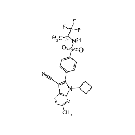 Cc1ccc2c(C#N)c(-c3ccc(S(=O)(=O)N[C@@H](C)C(F)(F)F)cc3)n(C3CCC3)c2n1